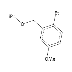 CCc1ccc(OC)cc1COC(C)C